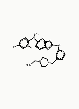 CN(c1ccc2nc(Nc3cc(CN4CCN(CC=O)CC4)ccn3)sc2n1)c1ccc(F)cc1F